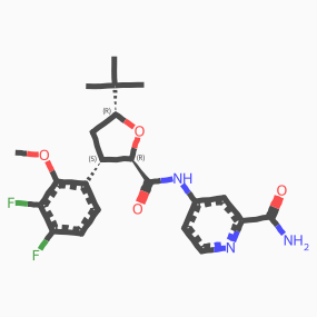 COc1c([C@@H]2C[C@H](C(C)(C)C)O[C@H]2C(=O)Nc2ccnc(C(N)=O)c2)ccc(F)c1F